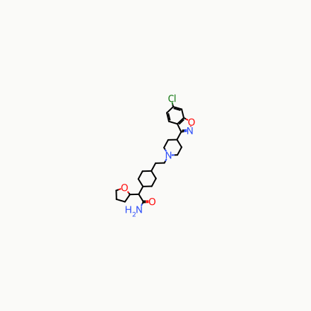 NC(=O)C(C1CCC(CCN2CCC(c3noc4cc(Cl)ccc34)CC2)CC1)C1CCCO1